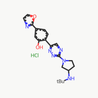 CC(C)(C)NC1CCN(c2ncc(-c3ccc(-c4ncco4)cc3O)nn2)C1.Cl